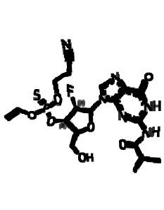 C=COP(=S)(OCCC#N)O[C@@H]1C(CO)OC(n2cnc3c(=O)[nH]c(NC(=O)C(C)C)nc32)[C@@H]1F